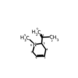 C=C(C)C1CC=CCN1C